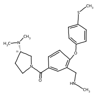 CNCc1cc(C(=O)N2CC[C@H](N(C)C)C2)ccc1Oc1ccc(SC)cc1